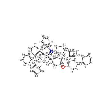 c1ccc(-c2ccc3c(c2)C2(c4cc(-c5ccccc5)ccc4O3)c3ccccc3-c3ccc(N(c4ccccc4)c4ccc5c(c4)C(c4ccccc4)(c4ccccc4)c4ccccc4-5)cc32)cc1